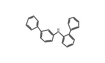 c1ccc(-c2cccc(Nc3ccccc3-c3ccccc3)c2)cc1